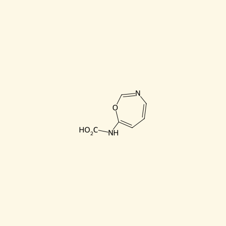 O=C(O)NC1=CC=CN=CO1